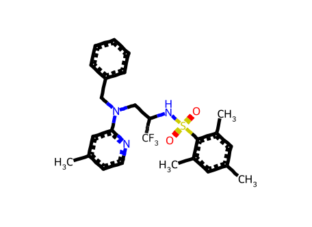 Cc1ccnc(N(Cc2ccccc2)CC(NS(=O)(=O)c2c(C)cc(C)cc2C)C(F)(F)F)c1